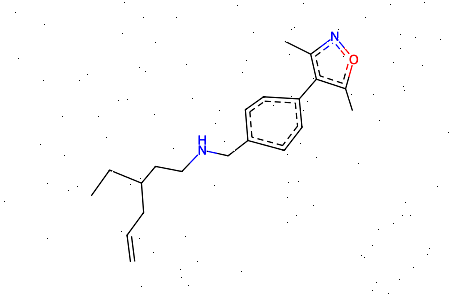 C=CCC(CC)CCNCc1ccc(-c2c(C)noc2C)cc1